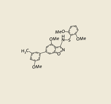 COc1cc(C)cc(-c2cc(OC)c3c(NSc4c(OC)cccc4OC)noc3c2)c1